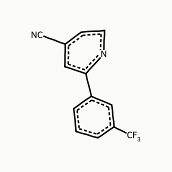 N#Cc1ccnc(-c2cccc(C(F)(F)F)c2)c1